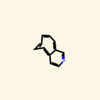 C1=C\C=c2\cncc\c2=C/C=C/1